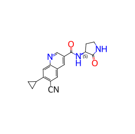 N#Cc1cc2cc(C(=O)N[C@H]3CCNC3=O)cnc2cc1C1CC1